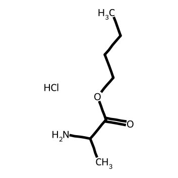 CCCCOC(=O)C(C)N.Cl